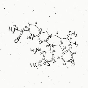 CN(C)CCN(Cc1ccc(C(N)=O)nc1)C(=O)N(Cc1ccncc1)c1cscc1N.Cl